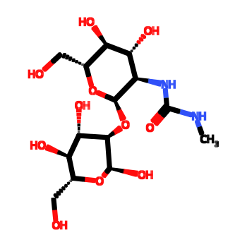 CNC(=O)N[C@H]1[C@@H](O[C@@H]2[C@@H](O)[C@H](O)[C@@H](CO)O[C@@H]2O)O[C@H](CO)[C@@H](O)[C@@H]1O